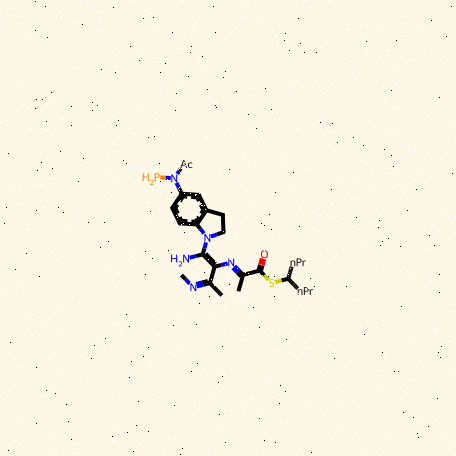 CCCC(CCC)SC(=O)/C(C)=N/C(C(/C)=N\C)=C(/N)N1CCc2cc(N(P)C(C)=O)ccc21